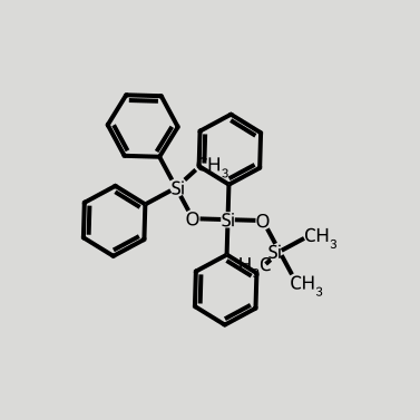 C[Si](C)(C)O[Si](O[Si](C)(c1ccccc1)c1ccccc1)(c1ccccc1)c1ccccc1